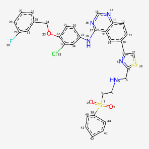 O=S(=O)(CCNCc1nc(-c2ccc3ncnc(Nc4ccc(OCc5cccc(F)c5)c(Cl)c4)c3c2)cs1)c1ccccc1